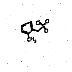 Cc1ccccc1CS(=O)(=O)Cl